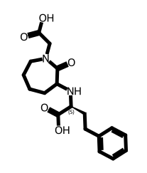 O=C(O)CN1CCCCC(N[C@@H](CCc2ccccc2)C(=O)O)C1=O